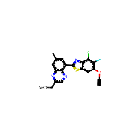 C#COc1cc2sc(-c3cc(C)cc4nc(COC)cnc34)nc2c(Cl)c1F